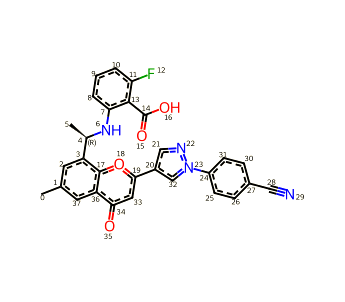 Cc1cc([C@@H](C)Nc2cccc(F)c2C(=O)O)c2oc(-c3cnn(-c4ccc(C#N)cc4)c3)cc(=O)c2c1